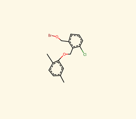 Cc1ccc(C)c(OCc2c(Cl)cccc2COBr)c1